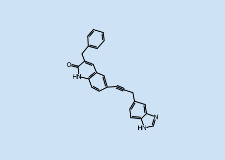 O=c1[nH]c2ccc(C#CCc3ccc4[nH]cnc4c3)cc2cc1Cc1ccccc1